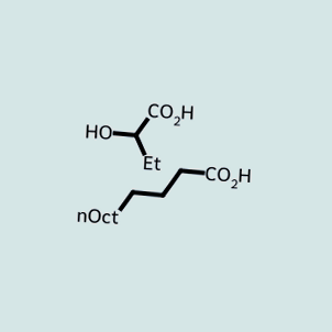 CCC(O)C(=O)O.CCCCCCCCCCCC(=O)O